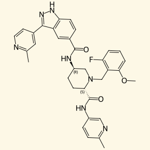 COc1cccc(F)c1CN1C[C@H](NC(=O)c2ccc3[nH]nc(-c4ccnc(C)c4)c3c2)CC[C@H]1C(=O)Nc1ccc(C)nc1